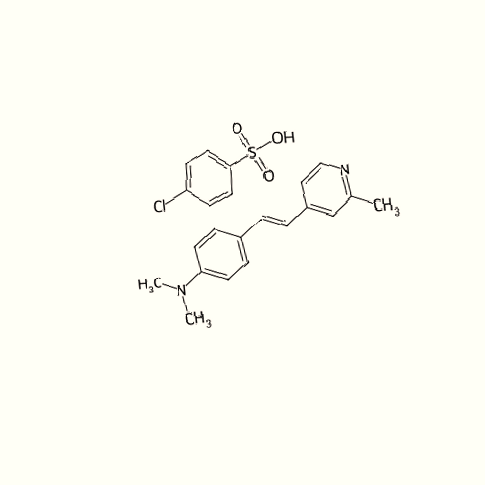 Cc1cc(C=Cc2ccc(N(C)C)cc2)ccn1.O=S(=O)(O)c1ccc(Cl)cc1